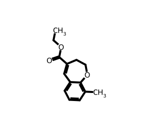 CCOC(=O)C1=Cc2cccc(C)c2OCC1